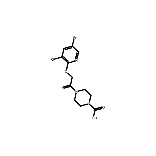 O=C(O)N1CCN(C(=O)COc2ncc(Br)cc2Cl)CC1